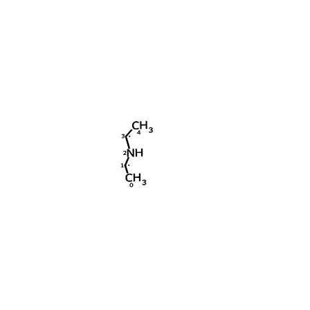 C[CH]N[CH]C